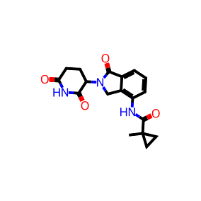 CC1(C(=O)Nc2cccc3c2CN(C2CCC(=O)NC2=O)C3=O)CC1